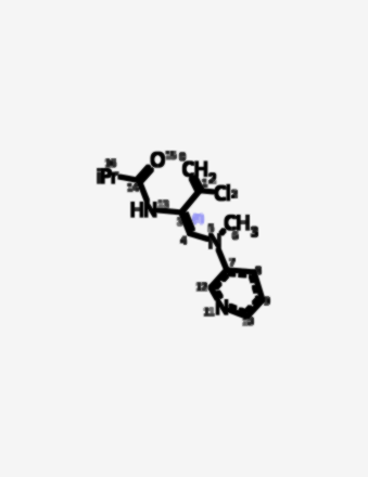 C=C(Cl)/C(=C\N(C)c1cccnc1)NC(=O)C(C)C